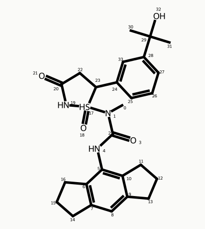 CN(C(=O)Nc1c2c(cc3c1CCC3)CCC2)[SH]1(=O)NC(=O)CC1c1cccc(C(C)(C)O)c1